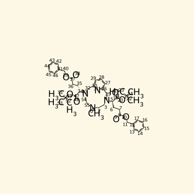 CN1CCN([C@H](CCC(=O)OCc2ccccc2)C(=O)OC(C)(C)C)Cc2cccc(n2)CN([C@@H](CCC(=O)OCc2ccccc2)C(=O)OC(C)(C)C)CC1